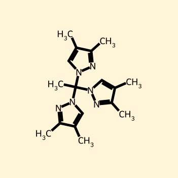 Cc1cn(C(C)(n2cc(C)c(C)n2)n2cc(C)c(C)n2)nc1C